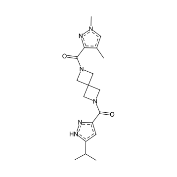 Cc1cn(C)nc1C(=O)N1CC2(CN(C(=O)c3cc(C(C)C)[nH]n3)C2)C1